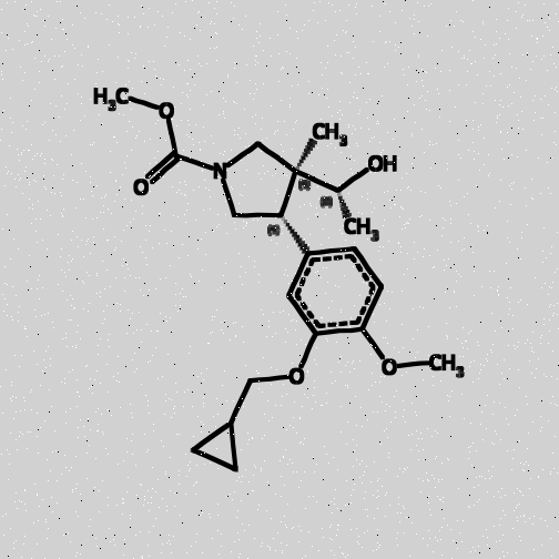 COC(=O)N1C[C@@H](c2ccc(OC)c(OCC3CC3)c2)[C@](C)([C@@H](C)O)C1